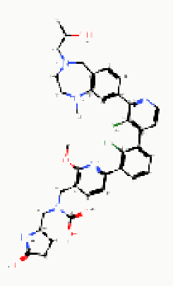 COc1nc(-c2cccc(-c3ccnc(-c4ccc5c(c4)N(C)CCN(CC(C)O)C5)c3Cl)c2Cl)ccc1CN(CC1CCC(=O)N1)C(=O)O